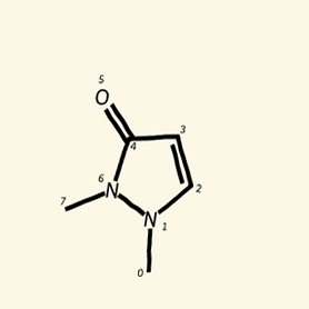 Cn1ccc(=O)n1C